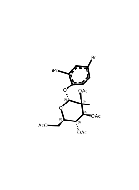 CC(=O)OC[C@H]1O[C@H](Oc2ccc(Br)cc2C(C)C)[C@@](C)(OC(C)=O)[C@@H](OC(C)=O)[C@@H]1OC(C)=O